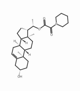 C[C@H](OC(=O)C(=O)N1CCCCC1)[C@H]1CC[C@H]2[C@@H]3CC=C4C[C@@H](O)CC[C@]4(C)[C@H]3CC[C@]12C